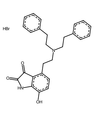 Br.O=C1Nc2c(O)ccc(CCN(CCc3ccccc3)CCc3ccccc3)c2C1=O